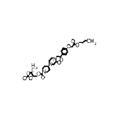 CCCCOC(=O)COc1ccc(C(=O)CN2CCN(C3CCN(C(=O)OCc4oc(=O)oc4C)CC3)CC2=O)cc1